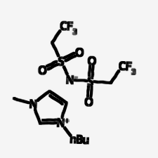 CCCC[n+]1ccn(C)c1.O=S(=O)(CC(F)(F)F)[N-]S(=O)(=O)CC(F)(F)F